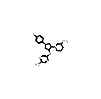 N#Cc1cnc(OC2CC(c3ccc(F)cc3)CC2N2CCCC(N)C2)cn1